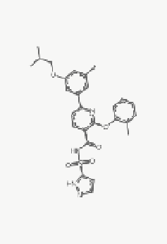 Cc1ccccc1Oc1nc(-c2cc(F)cc(OCC(C)C)c2)ccc1C(=O)NS(=O)(=O)c1ccn[nH]1